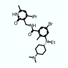 CCN(c1cc(Br)cc(C(=O)NCc2c(C(C)C)cc(C)[nH]c2=O)c1C)[C@H]1CC[C@H](N(C)C)CC1